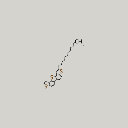 CCCCCCCCCCCCc1cc2c(ccc3c4ccc5sccc5c4sc23)s1